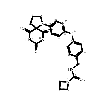 O=C1NC(=O)C2(CCCN2c2ccc(Oc3ccc(CNC(=O)N4CCC4)cc3)nc2)C(=O)N1